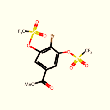 COC(=O)c1cc(OS(=O)(=O)C(F)(F)F)c(Br)c(OS(=O)(=O)C(F)(F)F)c1